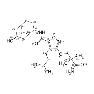 CC(C)CSc1c(OCC(C)(C)C(N)=O)noc1C(=O)NC1CCC2CC1C[C@@H](O)C2